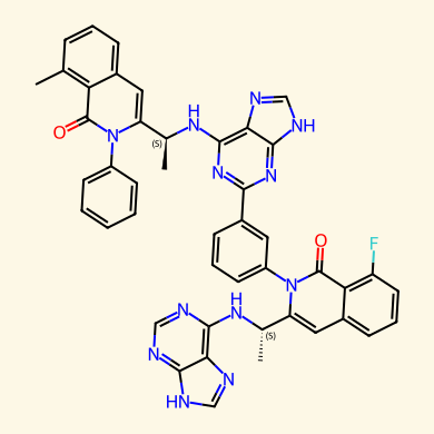 Cc1cccc2cc([C@H](C)Nc3nc(-c4cccc(-n5c([C@H](C)Nc6ncnc7[nH]cnc67)cc6cccc(F)c6c5=O)c4)nc4[nH]cnc34)n(-c3ccccc3)c(=O)c12